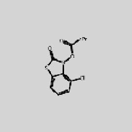 CCCC(=O)On1c(=O)sc2cccc(Cl)c21